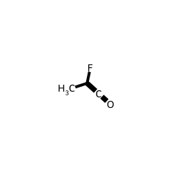 CC(F)=C=O